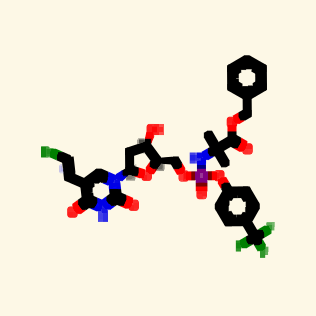 CC(C)(NP(=O)(OC[C@H]1O[C@@H](n2cc(/C=C/Br)c(=O)[nH]c2=O)C[C@H]1O)Oc1ccc(C(F)(F)F)cc1)C(=O)OCc1ccccc1